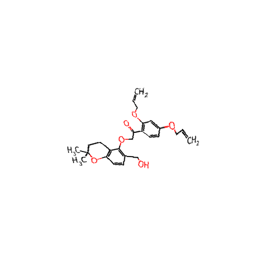 C=CCOc1ccc(C(=O)COc2c(CO)ccc3c2CCC(C)(C)O3)c(OCC=C)c1